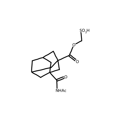 CC(=O)NC(=O)C12CC3CC(C1)CC(C(=O)OCS(=O)(=O)O)(C3)C2